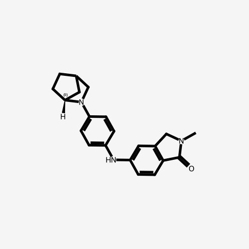 CN1Cc2cc(Nc3ccc(N4CC5CC[C@@H]4C5)cc3)ccc2C1=O